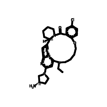 CCN1CCCCOc2ccc(Cl)cc2C(=O)N2CCCC[C@H]2c2cc3nc(N4CC[C@H](N)C4)cc1n3n2